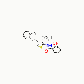 O=C(Nc1scc(C2CCc3ccccc3C2)c1C(=O)O)c1ccccc1O